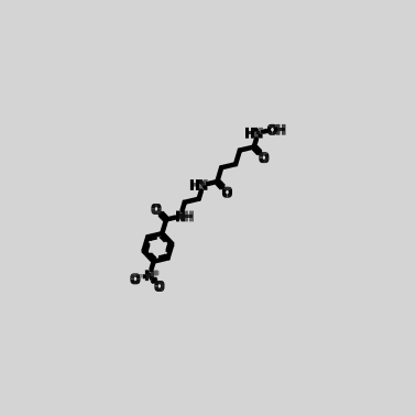 O=C(CCCC(=O)NCCNC(=O)c1ccc([N+](=O)[O-])cc1)NO